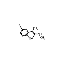 CNC1=C(C)c2cc(F)ccc2OC1